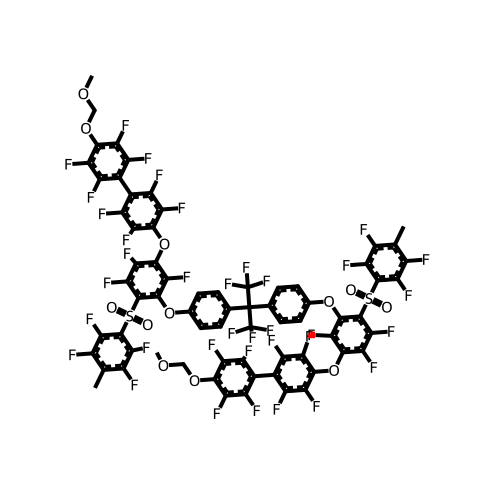 COCOc1c(F)c(F)c(-c2c(F)c(F)c(Oc3c(F)c(F)c(S(=O)(=O)c4c(F)c(F)c(C)c(F)c4F)c(Oc4ccc(C(c5ccc(Oc6c(F)c(Oc7c(F)c(F)c(-c8c(F)c(F)c(OCOC)c(F)c8F)c(F)c7F)c(F)c(F)c6S(=O)(=O)c6c(F)c(F)c(C)c(F)c6F)cc5)(C(F)(F)F)C(F)(F)F)cc4)c3F)c(F)c2F)c(F)c1F